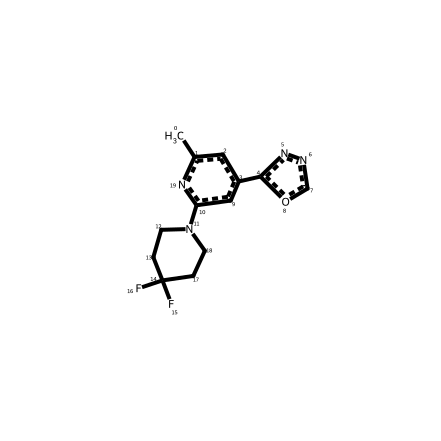 Cc1cc(-c2nnco2)cc(N2CCC(F)(F)CC2)n1